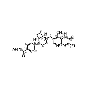 CCc1cc2ncc(CN3CCN(c4ccc(C(=O)NC)nc4)[C@H]4CC[C@H]43)c(C)c2[nH]c1=O